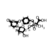 CC(C(=O)O)N(Oc1ccccc1)[PH](=O)OC[C@H]1O[C@@H](n2ccc(=O)[nH]c2=O)C(F)(F)[C@@H]1O